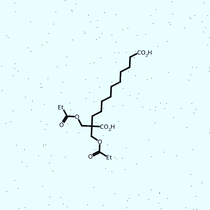 CCC(=O)OCC(CCCCCCCCCC(=O)O)(COC(=O)CC)C(=O)O